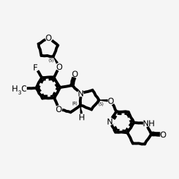 Cc1cc2c(c(O[C@H]3CCOC3)c1F)C(=O)N1C[C@@H](Oc3cc4c(cn3)CCC(=O)N4)C[C@@H]1CO2